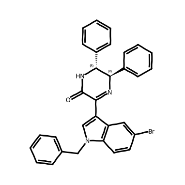 O=C1N[C@H](c2ccccc2)[C@@H](c2ccccc2)N=C1c1cn(Cc2ccccc2)c2ccc(Br)cc12